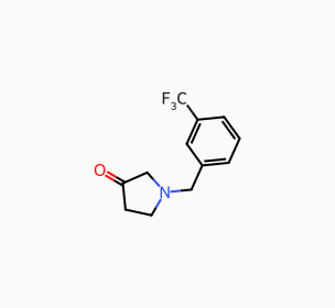 O=C1CCN(Cc2cccc(C(F)(F)F)c2)C1